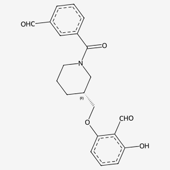 O=Cc1cccc(C(=O)N2CCC[C@@H](COc3cccc(O)c3C=O)C2)c1